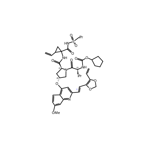 C=CC1=C(/C=C/c2cc(O[C@@H]3C[C@@H](C(=O)NC4(C(=O)NS(=O)(=O)C(C)C)CC4C=C)N(C(=O)[C@@H](NC(=O)OC4CCCC4)C(C)C)C3)c3ccc(OC)cc3n2)OCO1